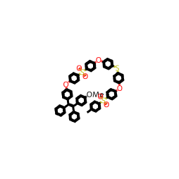 COc1ccc(/C(=C(/c2ccccc2)c2ccc(Oc3ccc(S(=O)(=O)c4ccc(Oc5ccc(Sc6ccc(Oc7ccc(S(=O)(=O)c8ccc(C)cc8)cc7)cc6)cc5)cc4)cc3)cc2)c2ccccc2)cc1